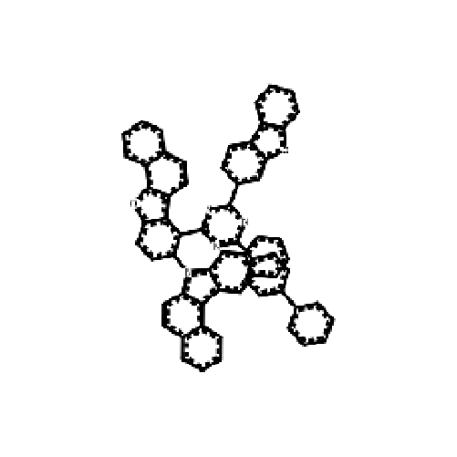 c1ccc(-c2ccc(-c3nc(-c4ccc5c(c4)oc4ccccc45)nc(-c4c(-n5c6cc7ccccc7cc6c6c7ccccc7ccc65)ccc5oc6c7ccccc7ccc6c45)n3)cc2)cc1